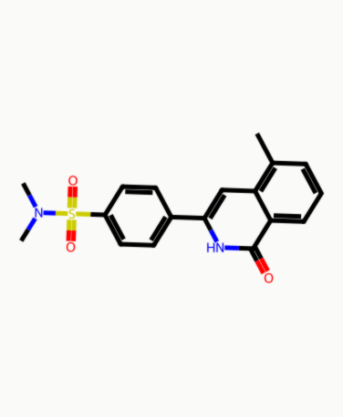 Cc1cccc2c(=O)[nH]c(-c3ccc(S(=O)(=O)N(C)C)cc3)cc12